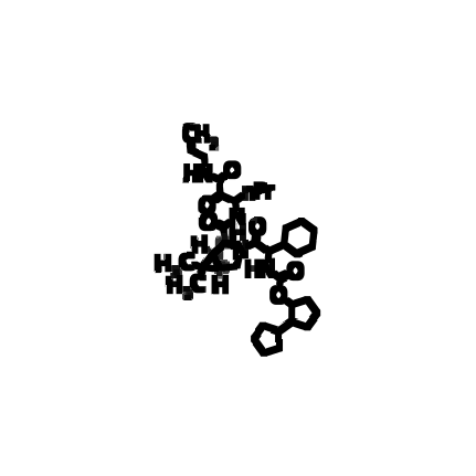 C=CCNC(=O)C(=O)C(CCC)NC(=O)[C@@H]1[C@H]2[C@@H](CN1C(=O)C(NC(=O)OC1CCCC1C1CCCC1)C1CCCCC1)C2(C)C